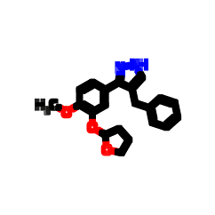 COc1ccc(-c2n[nH]cc2Cc2ccccc2)cc1OC1CCCO1